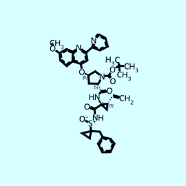 C=C[C@@H]1C[C@]1(NC(=O)[C@@H]1C[C@@H](Oc2cc(-c3ccccn3)nc3cc(OC)ccc23)CN1C(=O)OC(C)(C)C)C(=O)N[S+]([O-])C1(Cc2ccccc2)CC1